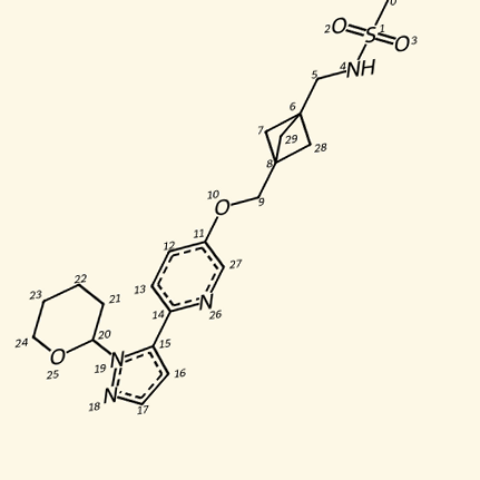 CS(=O)(=O)NCC12CC(COc3ccc(-c4ccnn4C4CCCCO4)nc3)(C1)C2